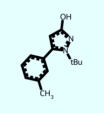 Cc1cccc(-c2cc(O)nn2C(C)(C)C)c1